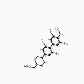 COCC1CCC(c2cc(F)c(-c3cc(F)c(OC(F)(F)F)c(F)c3)c(F)c2)CC1